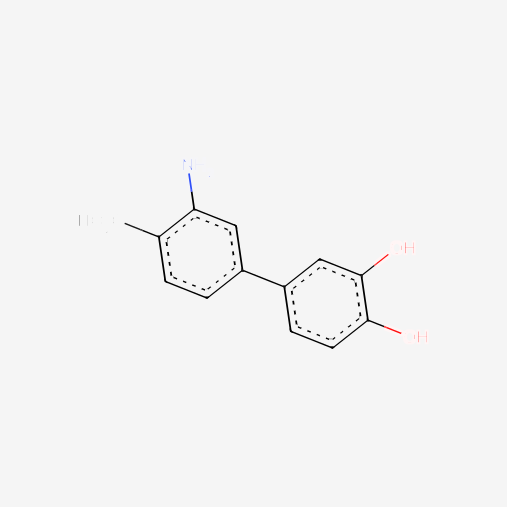 Nc1cc(-c2ccc(O)c(O)c2)ccc1C(=O)O